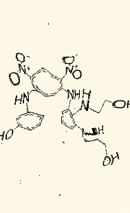 O=[N+]([O-])c1cc([N+](=O)[O-])c(Nc2cccc(NCCO)c2NCCO)cc1Nc1cccc(O)c1